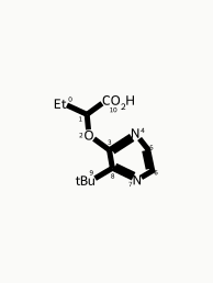 CCC(Oc1nccnc1C(C)(C)C)C(=O)O